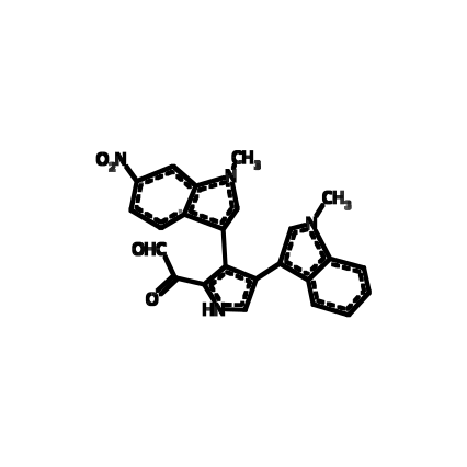 Cn1cc(-c2c[nH]c(C(=O)C=O)c2-c2cn(C)c3cc([N+](=O)[O-])ccc23)c2ccccc21